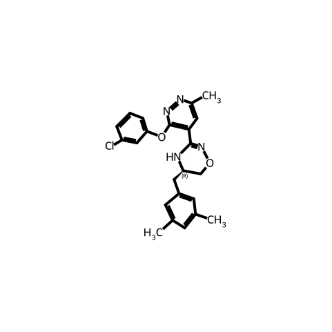 Cc1cc(C)cc(C[C@@H]2CON=C(c3cc(C)nnc3Oc3cccc(Cl)c3)N2)c1